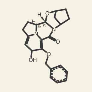 O=C1C2=C(OCc3ccccc3)C(O)C=C3CC[C@H]([C@@H]4OC5CCC(C5)N14)N32